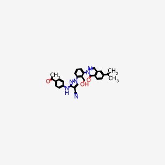 C=C(C)c1ccc2c(=O)n(-c3cccc(-n4cc(C#N)c(Nc5ccc(C(C)=O)cc5)n4)c3CO)ncc2c1